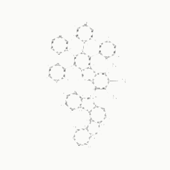 N#Cc1c(C#N)c(C#N)c2c(oc3c(-c4ccccc4)c(-c4ccccc4)c(-c4ccccc4)c(-c4ccccc4)c32)c1-n1c2ccccc2c2c3c(ccc21)sc1ccccc13